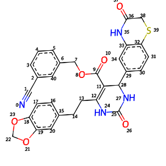 N#Cc1cccc(COC(=O)C2=C(CCc3ccc4c(c3)OCO4)NC(=O)NC2c2ccc3c(c2)NC(=O)CS3)c1